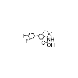 CC1(C)CCc2cc(-c3ccc(F)c(F)c3)ccc2[C@H]1NC(=O)O